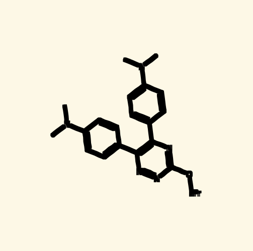 CCCOc1nnc(-c2ccc(N(C)C)cc2)c(-c2ccc(N(C)C)cc2)n1